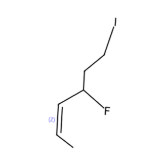 C/C=C\C(F)CCI